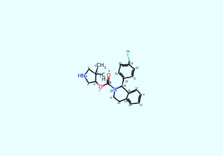 CC1(C)CNCC1OC(=O)N1CCc2ccccc2[C@@H]1c1ccc(F)cc1